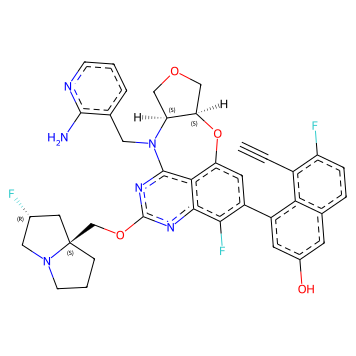 C#Cc1c(F)ccc2cc(O)cc(-c3cc4c5c(nc(OC[C@@]67CCCN6C[C@H](F)C7)nc5c3F)N(Cc3cccnc3N)[C@H]3COC[C@H]3O4)c12